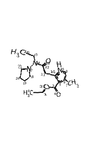 CCOC(=O)c1c(C)c[nH]c1CC(=O)N(CC)N1CCCC1